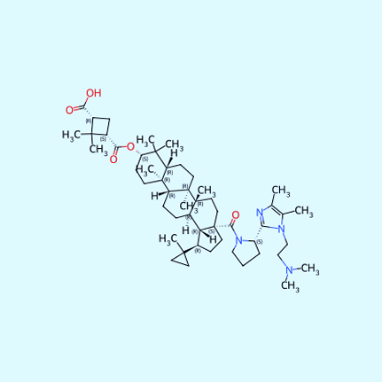 Cc1nc([C@@H]2CCCN2C(=O)[C@]23CC[C@@H](C4(C)CC4)[C@@H]2[C@H]2CC[C@@H]4[C@@]5(C)CC[C@H](OC(=O)[C@H]6C[C@@H](C(=O)O)C6(C)C)C(C)(C)[C@@H]5CC[C@@]4(C)[C@]2(C)CC3)n(CCN(C)C)c1C